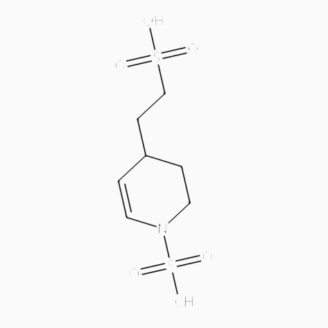 CS(=O)(=O)N1C=CC(CCS(=O)(=O)O)CC1